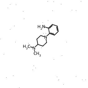 CN(C)C1CCN(c2ccccc2N)CC1